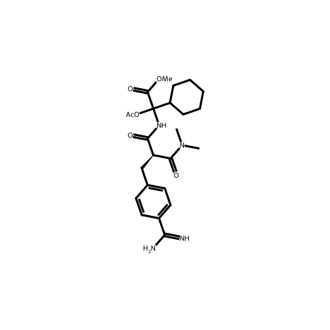 COC(=O)C(NC(=O)[C@H](Cc1ccc(C(=N)N)cc1)C(=O)N(C)C)(OC(C)=O)C1CCCCC1